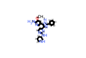 COc1cc(-c2[nH]c(-c3ccccc3)nc2-c2ccnc(N[C@@H]3CCCNC3)n2)cnc1N